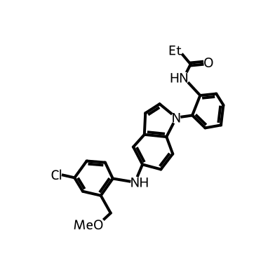 CCC(=O)Nc1ccccc1-n1ccc2cc(Nc3ccc(Cl)cc3COC)ccc21